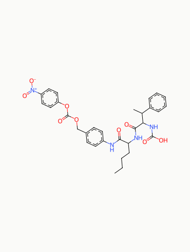 CCCCC(NC(=O)C(NC(=O)O)C(C)c1ccccc1)C(=O)Nc1ccc(COC(=O)Oc2ccc([N+](=O)[O-])cc2)cc1